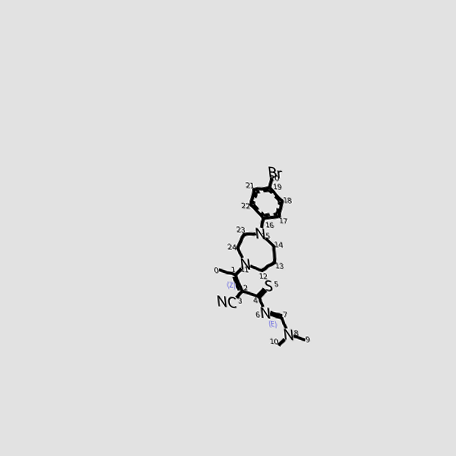 C/C(=C(\C#N)C(=S)/N=C/N(C)C)N1CCCN(c2ccc(Br)cc2)CC1